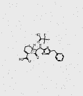 O=C(O)C(F)(F)F.O=C(O)C1=CCS[C@@H]2C(Nc3nc(Cc4ccccc4)c[nH]3)C(=O)N12